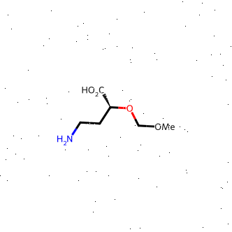 COCO[C@@H](CCN)C(=O)O